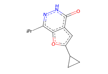 CC(C)c1n[nH]c(=O)c2cc(C3CC3)oc12